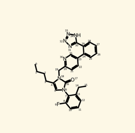 CCCCc1cn(-c2c(F)cccc2CC)c(=O)n1Cc1ccc(-c2ccccc2-c2nnn[nH]2)cn1